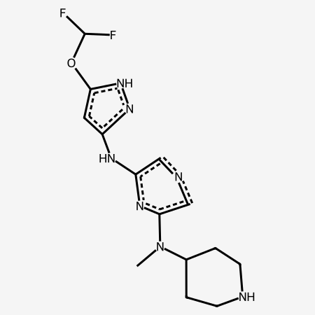 CN(c1cncc(Nc2cc(OC(F)F)[nH]n2)n1)C1CCNCC1